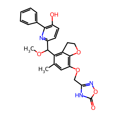 COC(c1ccc(O)c(-c2ccccc2)n1)c1c(C)cc(OCc2noc(=O)[nH]2)c2c1CCO2